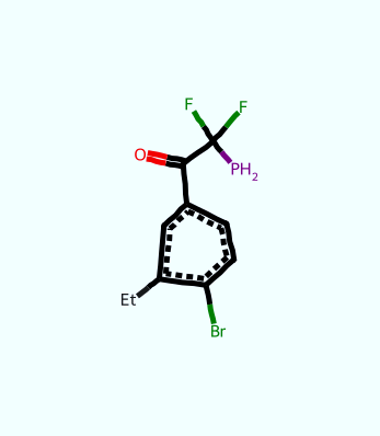 CCc1cc(C(=O)C(F)(F)P)ccc1Br